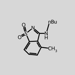 CCCCNC1=NS(=O)(=O)c2cccc(C)c21